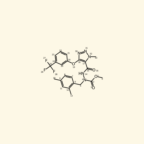 COC(=O)N(Cc1ccc(C)cc1C)NC(=O)c1c(Oc2cccc(C(F)(F)F)c2)nnn1C